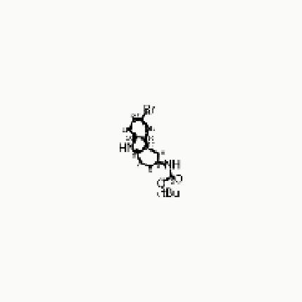 CC(C)(C)OC(=O)NC1CCc2[nH]c3ccc(Br)cc3c2C1